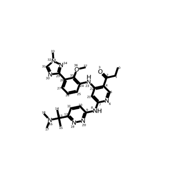 CCC(=O)c1cnc(Nc2ccc(C(C)(C)N(C)C)nn2)cc1Nc1cccc(-c2ncn(C)n2)c1OC